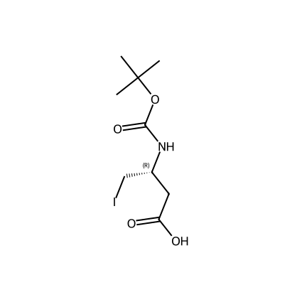 CC(C)(C)OC(=O)N[C@@H](CI)CC(=O)O